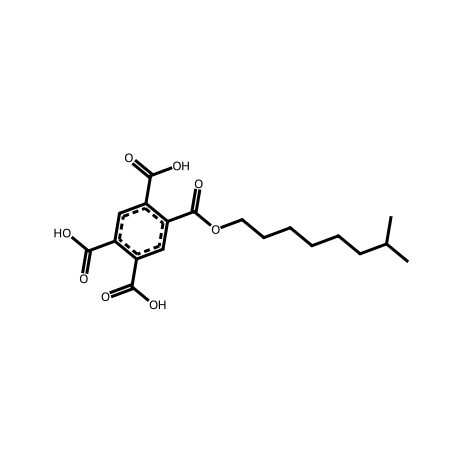 CC(C)CCCCCCOC(=O)c1cc(C(=O)O)c(C(=O)O)cc1C(=O)O